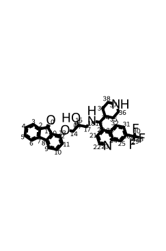 O=C1c2ccccc2-c2cccc(OC[C@@H](O)CNC(c3ccnc4cc(C(F)(F)F)ccc34)C3CCNCC3)c21